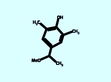 COC(C)c1cc(C)c(O)c(C)c1